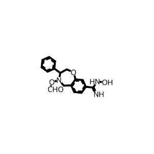 N=C(NO)c1ccc2c(c1)OCC(c1ccccc1)N(OC=O)C2